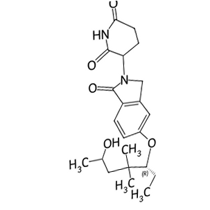 CC[C@@H](Oc1ccc2c(c1)CN(C1CCC(=O)NC1=O)C2=O)C(C)(C)CC(C)O